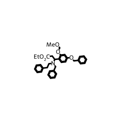 CCOC(=O)CC(c1ccc(OCc2ccccc2)cc1OCOC)N(CCc1ccccc1)Cc1ccccc1